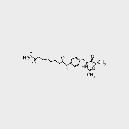 COC(=O)[C@@H](Cc1ccc(NC(=O)CCCCCCC(=O)NO)cc1)NC(C)=O